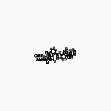 BC(CCC=O)(C(=O)NC)N1Cc2c(NCc3cccc(C(O)(O)N4CCOCC4)c3F)cccc2C1=O